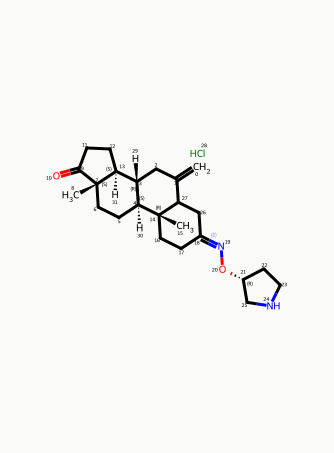 C=C1C[C@@H]2[C@H](CC[C@]3(C)C(=O)CC[C@@H]23)[C@@]2(C)CC/C(=N\O[C@@H]3CCNC3)CC12.Cl